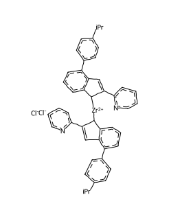 CC(C)c1ccc(-c2cccc3c2C=C(c2ccccn2)[CH]3[Zr+2][CH]2C(c3ccccn3)=Cc3c(-c4ccc(C(C)C)cc4)cccc32)cc1.[Cl-].[Cl-]